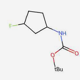 CC(C)(C)OC(=O)NC1CCC(F)C1